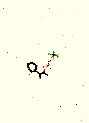 CC(OCCOC(F)(F)F)C(C)c1ccccc1